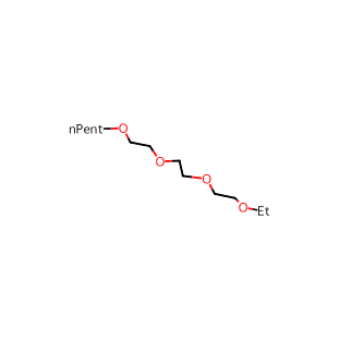 CC[CH]CCOCCOCCOCCOCC